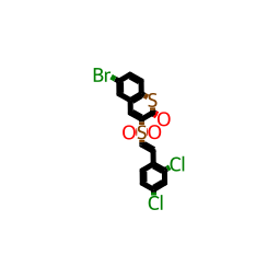 O=c1sc2ccc(Br)cc2cc1S(=O)(=O)C=Cc1ccc(Cl)cc1Cl